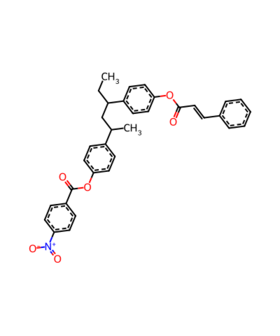 CCC(CC(C)c1ccc(OC(=O)c2ccc([N+](=O)[O-])cc2)cc1)c1ccc(OC(=O)/C=C/c2ccccc2)cc1